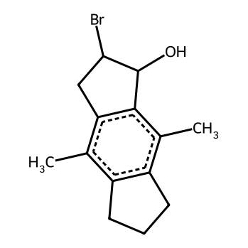 Cc1c2c(c(C)c3c1CC(Br)C3O)CCC2